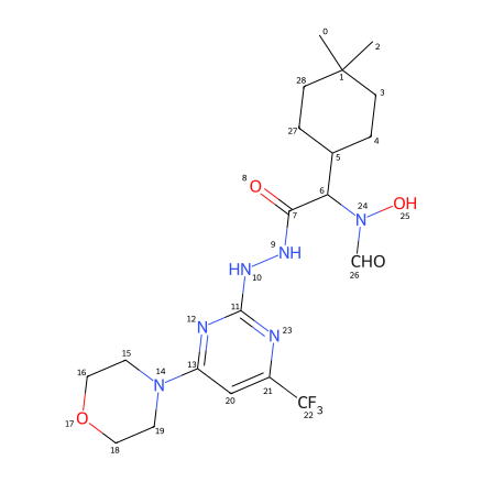 CC1(C)CCC(C(C(=O)NNc2nc(N3CCOCC3)cc(C(F)(F)F)n2)N(O)C=O)CC1